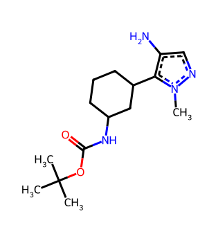 Cn1ncc(N)c1C1CCCC(NC(=O)OC(C)(C)C)C1